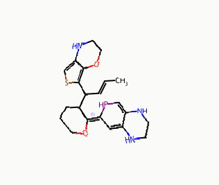 CC=CC(c1scc2c1OCCN2)C1CCCO/C1=C1\C=C2NCCNC2=CP1